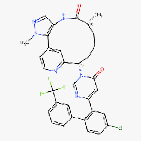 C[C@@H]1CCC[C@H](n2cnc(-c3cc(Cl)ccc3-c3cccc(C(F)(F)F)c3)cc2=O)c2cc(ccn2)-c2c(cnn2C)NC1=O